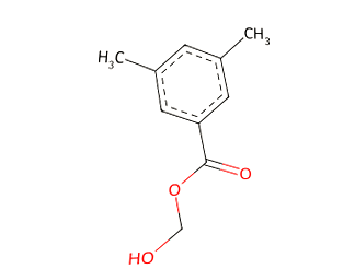 Cc1cc(C)cc(C(=O)OCO)c1